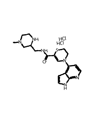 CN1CCNC(CNC(=O)C2=CN(c3ccnc4[nH]ccc34)CCS2)C1.Cl.Cl